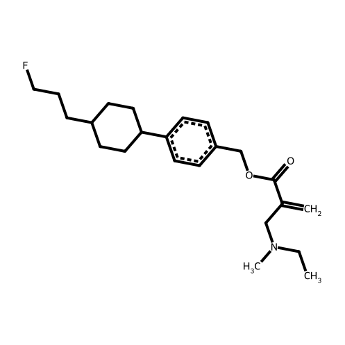 C=C(CN(C)CC)C(=O)OCc1ccc(C2CCC(CCCF)CC2)cc1